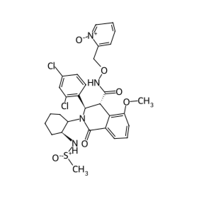 COc1cccc2c1[C@@H](C(=O)NOCc1cccc[n+]1[O-])[C@H](c1ccc(Cl)cc1Cl)N(C1CCCC[C@@H]1N[S+](C)[O-])C2=O